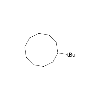 CC(C)(C)C1CCCCCCCCC1